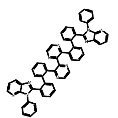 c1ccc(-n2c(-c3ccccc3-c3ccccc3-c3nccnc3-c3nccnc3-c3ccccc3-c3ccccc3-c3nc4cccnc4n3-c3ccccc3)nc3cccnc32)cc1